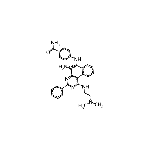 CN(C)CCNc1nc(-c2ccccc2)nc(C(N)=O)c1-c1ccccc1C(=O)Nc1ccc(C(N)=O)cc1